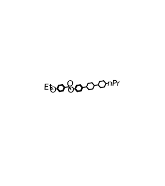 CCCC1CCC(C2CCC(c3ccc(OC(=O)c4ccc(OCC)cc4)cc3)CC2)CC1